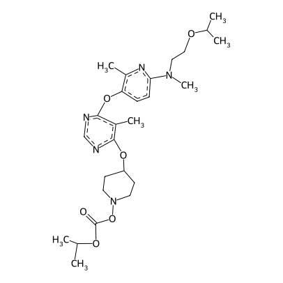 Cc1nc(N(C)CCOC(C)C)ccc1Oc1ncnc(OC2CCN(OC(=O)OC(C)C)CC2)c1C